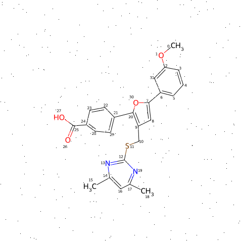 COc1cccc(-c2cc(CSc3nc(C)cc(C)n3)c(-c3ccc(C(=O)O)cc3)o2)c1